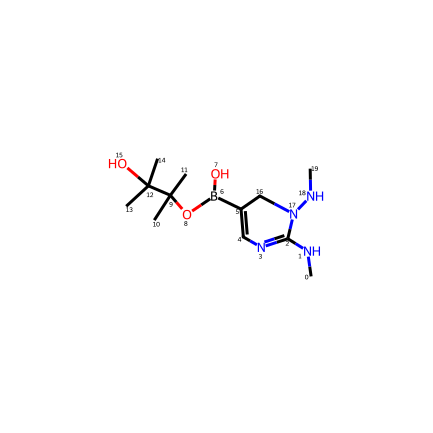 CNC1=NC=C(B(O)OC(C)(C)C(C)(C)O)CN1NC